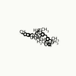 CCC1CC2C3CC(CN(C(C)=O)C4CC(=O)N(c5c(C(C)C)cc(Cc6cc(C(C)C)c(N7C(=O)C=CC7=O)c(C(C)C)c6)cc5C(C)C)C4=O)C(C3)C2C1